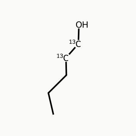 CCC[13CH2][13CH2]O